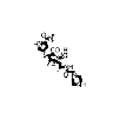 C[C@@H](NC(=O)CN1CCNCC1)[C@H]1C(=O)N2C(C(=O)O)=C(S[C@@H]3CN[C@H](C(=O)N(C)C)C3)[C@H](C)[C@H]12